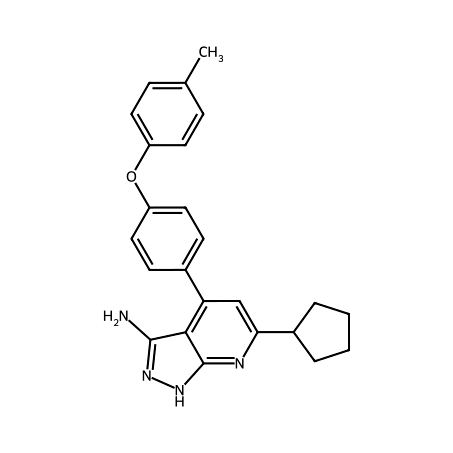 Cc1ccc(Oc2ccc(-c3cc(C4CCCC4)nc4[nH]nc(N)c34)cc2)cc1